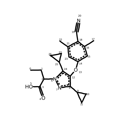 CCC(C(=O)O)n1nc(C2CC2)c(Oc2cc(C)c(C#N)c(C)c2)c1C1CC1